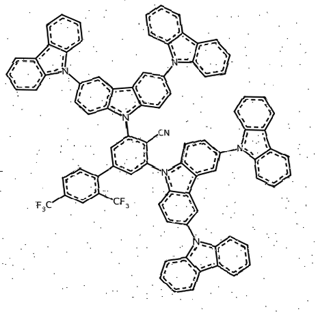 N#Cc1c(-n2c3ccc(-n4c5ccccc5c5ccccc54)cc3c3cc(-n4c5ccccc5c5ccccc54)ccc32)cc(-c2ccc(C(F)(F)F)cc2C(F)(F)F)cc1-n1c2ccc(-n3c4ccccc4c4ccccc43)cc2c2cc(-n3c4ccccc4c4ccccc43)ccc21